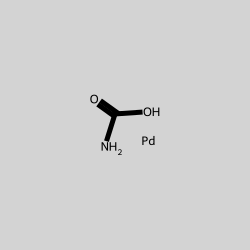 NC(=O)O.[Pd]